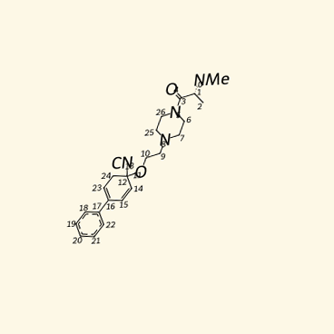 CN[C@H](C)C(=O)N1CCN(CCOC2(C#N)C=CC(c3ccccc3)=CC2)CC1